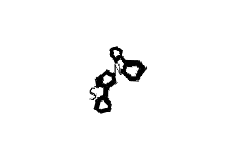 C1=CC2c3ccccc3N(c3ccc4sc5ccccc5c4c3)C2C=C1